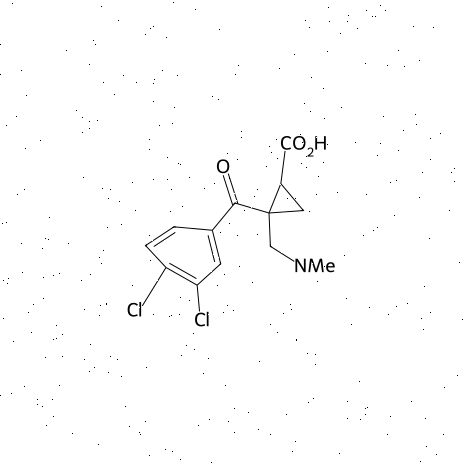 CNCC1(C(=O)c2ccc(Cl)c(Cl)c2)CC1C(=O)O